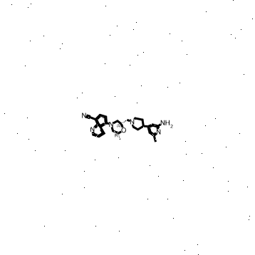 Cc1cc(C2CCN(C[C@H]3CN(c4ccc(C#N)c5ncccc45)C[C@@H](C)O3)CC2)cc(N)n1